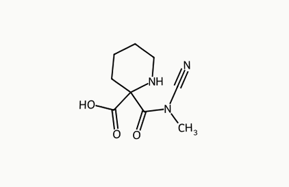 CN(C#N)C(=O)C1(C(=O)O)CCCCN1